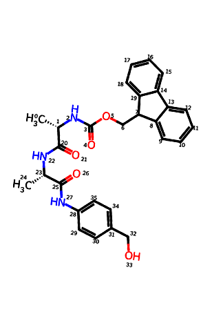 C[C@H](NC(=O)OCC1c2ccccc2-c2ccccc21)C(=O)N[C@@H](C)C(=O)Nc1ccc(CO)cc1